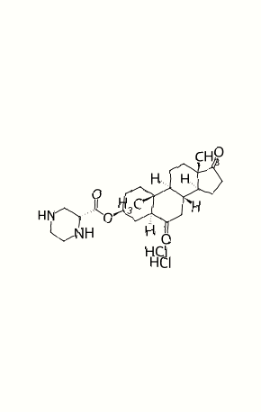 C[C@]12CC[C@H](OC(=O)[C@H]3CNCCN3)C[C@@H]1C(=O)C[C@@H]1[C@@H]2CC[C@]2(C)C(=O)CC[C@@H]12.Cl.Cl